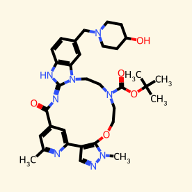 Cc1cc2cc(n1)-c1cnn(C)c1OCCN(C(=O)OC(C)(C)C)CCN1/C(=N/C2=O)Nc2ccc(CN3CCC(O)CC3)cc21